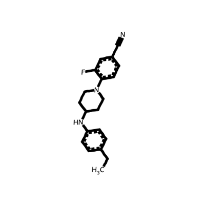 CCc1ccc(NC2CCN(c3ccc(C#N)cc3F)CC2)cc1